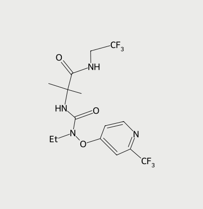 CCN(Oc1ccnc(C(F)(F)F)c1)C(=O)NC(C)(C)C(=O)NCC(F)(F)F